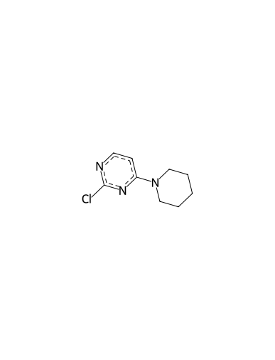 Clc1nccc(N2CCCCC2)n1